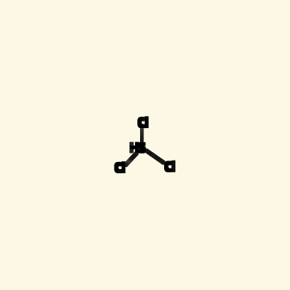 Cl[SH](Cl)Cl